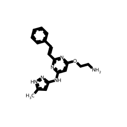 Cc1cc(Nc2cc(OCCN)nc(/C=C/c3ccccc3)n2)n[nH]1